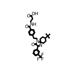 CC(C)(C)C1CCC2(CC1)N=C(c1cccc(C(F)(F)F)c1)C(=O)N2CCc1ccc(C(=O)NCCC(=O)O)cc1